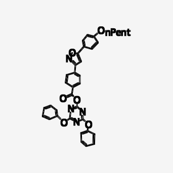 CCCCCOc1ccc(-c2cc(-c3ccc(C(=O)Oc4nc(Oc5ccccc5)nc(Oc5ccccc5)n4)cc3)no2)cc1